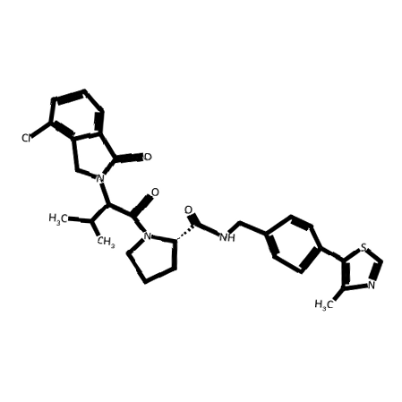 Cc1ncsc1-c1ccc(CNC(=O)[C@@H]2CCCN2C(=O)C(C(C)C)N2Cc3c(Cl)cccc3C2=O)cc1